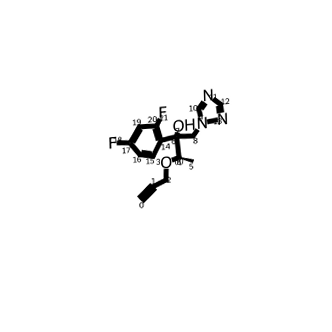 C#CCO[C@H](C)C(O)(Cn1cncn1)c1ccc(F)cc1F